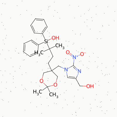 CC1(C)OCC(CCC(C)(C)[Si](O)(c2ccccc2)c2ccccc2)(Cn2cc(CO)nc2[N+](=O)[O-])CO1